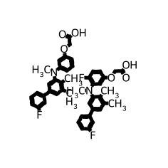 Cc1cc(-c2cccc(F)c2)cc(N(C)c2cc(OCC(=O)O)ccc2F)c1C.Cc1cc(-c2cccc(F)c2)cc(N(C)c2cccc(OCC(=O)O)c2)c1C